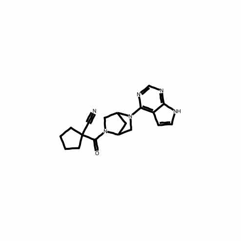 N#CC1(C(=O)N2CC3CC2CN3c2ncnc3[nH]ccc23)CCCC1